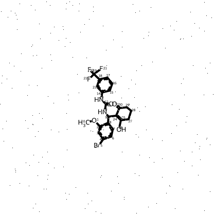 COc1cc(Br)ccc1C(NC(=O)Nc1cccc(C(F)(F)F)c1)C1=C(O)CCCC1=O